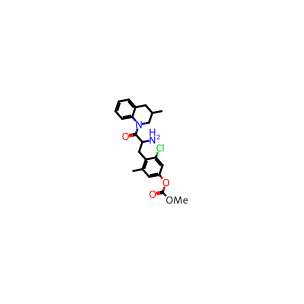 COC(=O)Oc1cc(C)c(CC(N)C(=O)N2CC(C)Cc3ccccc32)c(Cl)c1